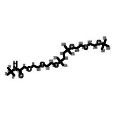 CC(C)(C)NC(=O)COCCOCCOC(C)(C)CCC(C)(C)OCCOCCOC(C)(C)C